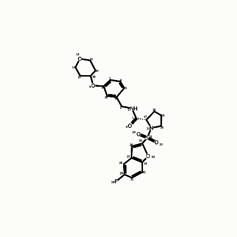 O=C(NCc1cccc(OC2CCOCC2)c1)[C@@H]1CCCN1S(=O)(=O)c1cc2cc(F)ccc2o1